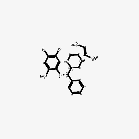 COc1cc(Cl)c(Cl)cc1O[C@@H](c1ccccc1)[C@@H]1CNCCO1.O=C(O)C=CC(=O)O